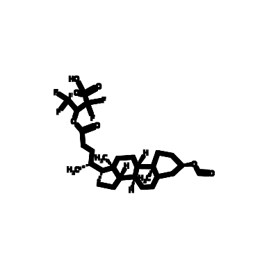 C[C@H](CCC(=O)OC(C(F)(F)F)C(F)(F)S(=O)(=O)O)[C@H]1CC[C@H]2[C@@H]3CCC4C[C@H](OC=O)CC[C@]4(C)[C@H]3CC[C@]12C